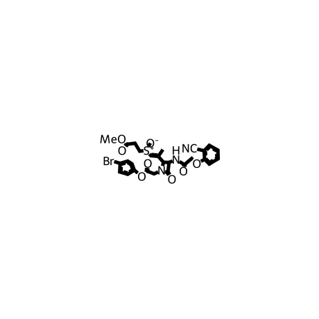 COC(=O)CC[S+]([O-])C=C(C)C1C(NC(=O)COc2ccccc2C#N)C(=O)N1CC(=O)Oc1ccc(Br)cc1